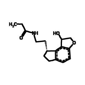 CCC(=O)NCC[C@H]1CCc2ccc3c(c21)C(O)CO3